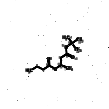 CCCC(=O)O[C@H](C)CC(=O)OC(C)(C)C